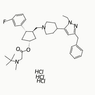 CCn1nc(Cc2ccccc2)cc1C1CCN(C[C@H]2C[C@H](OC(=O)CN(C)C(C)(C)C)C[C@@H]2c2cccc(F)c2)CC1.Cl.Cl.Cl